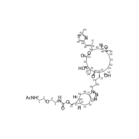 CC(=O)NCCOCCNC(=O)OC[C@@H]1[C@@H]2CCc3nnn(CCCC[C@H]4C(=O)C(C)(C)[C@@H](O)CC(=O)OC(/C(C)=C/c5csc(C)n5)C[C@@H]5OC5(C)CCC[C@H](C)[C@@H]4O)c3CC[C@@H]21